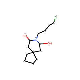 OC1CC2(CCCC2)CC(O)N1CCCCCl